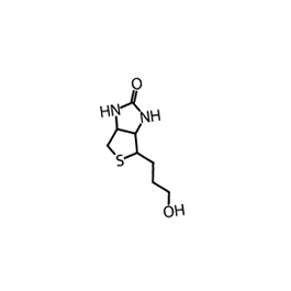 O=C1NC2CSC(CCCO)C2N1